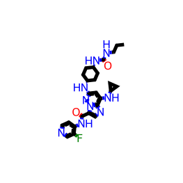 CCCNC(=O)N[C@H]1CC[C@H](Nc2cc(NC3CC3)c3ncc(C(=O)Nc4ccncc4F)n3n2)CC1